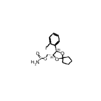 NS(=O)OC[C@H]1OC2(CCCC2)O[C@@H]1c1ccccc1I